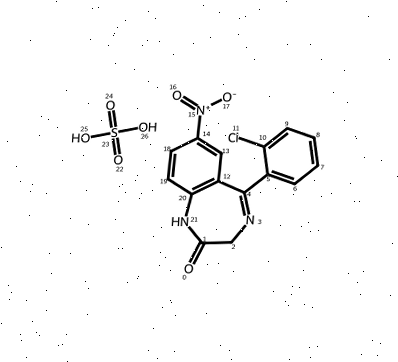 O=C1CN=C(c2ccccc2Cl)c2cc([N+](=O)[O-])ccc2N1.O=S(=O)(O)O